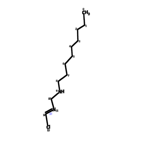 CCCCCCCCCNC/N=C/Cl